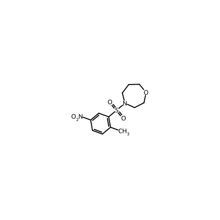 Cc1ccc([N+](=O)[O-])cc1S(=O)(=O)N1CCCOCC1